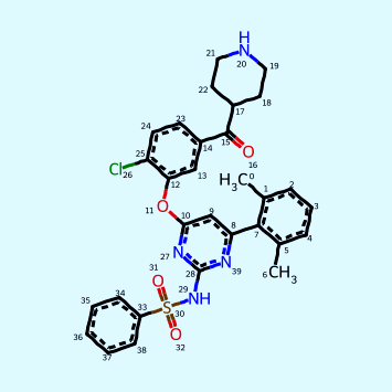 Cc1cccc(C)c1-c1cc(Oc2cc(C(=O)C3CCNCC3)ccc2Cl)nc(NS(=O)(=O)c2ccccc2)n1